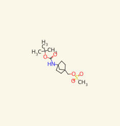 CC(C)(C)OC(=O)NC12CCC(COS(C)(=O)=O)(CC1)C2